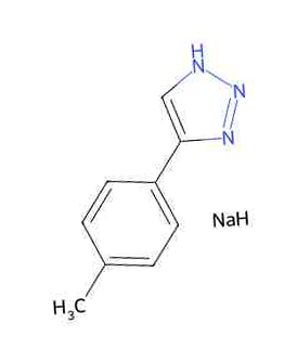 Cc1ccc(-c2c[nH]nn2)cc1.[NaH]